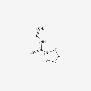 C=NNC(=S)N1CCCC1